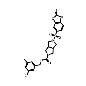 O=C(OCc1cc(Cl)cc(Cl)c1)N1CC2CN(S(=O)(=O)c3ccc4[nH]c(=O)oc4c3)CC2C1